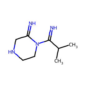 CC(C)C(=N)N1CCNCC1=N